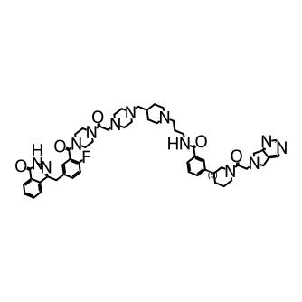 O=C(NCCCN1CCC(CN2CCN(CC(=O)N3CCN(C(=O)c4cc(Cc5n[nH]c(=O)c6ccccc56)ccc4F)CC3)CC2)CC1)c1cccc([C@@H]2CCCN(C(=O)CN3Cc4cncnc4C3)C2)c1